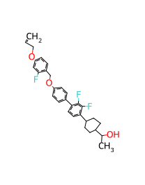 C=CCOc1ccc(COc2ccc(-c3ccc(C4CCC(C(C)O)CC4)c(F)c3F)cc2)c(F)c1